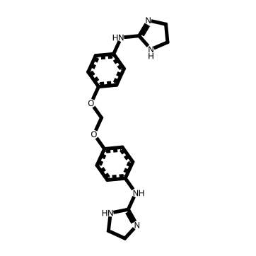 c1cc(OCOc2ccc(NC3=NCCN3)cc2)ccc1NC1=NCCN1